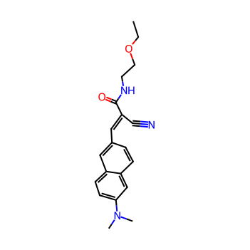 CCOCCNC(=O)/C(C#N)=C/c1ccc2cc(N(C)C)ccc2c1